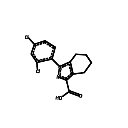 O=C(O)c1nn(-c2ccc(Cl)cc2Cl)c2c1CCCC2